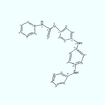 O=C(Nc1ccccc1)Oc1ccc(Nc2ccc(Nc3ccccc3)cc2)cc1